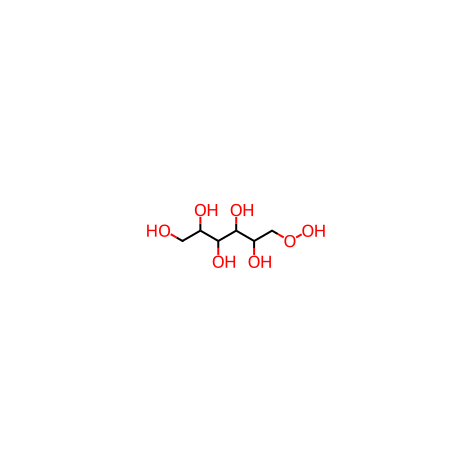 OCC(O)C(O)C(O)C(O)COO